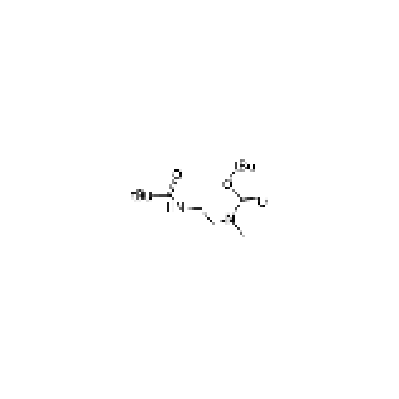 CN(CCNC(=O)C(C)(C)C)C(=O)OC(C)(C)C